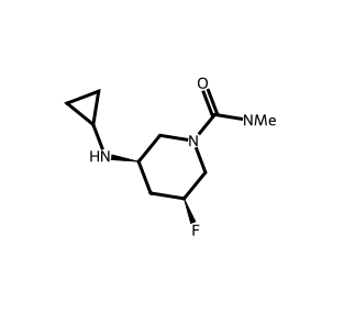 CNC(=O)N1C[C@@H](F)C[C@@H](NC2CC2)C1